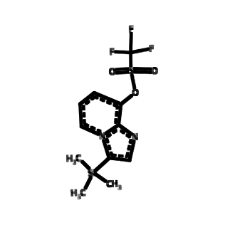 C[Si](C)(C)c1cnc2c(OS(=O)(=O)C(F)(F)F)cccn12